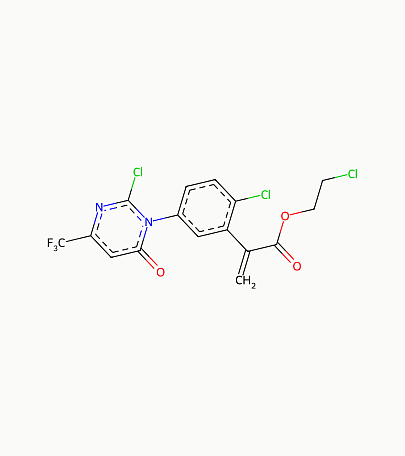 C=C(C(=O)OCCCl)c1cc(-n2c(Cl)nc(C(F)(F)F)cc2=O)ccc1Cl